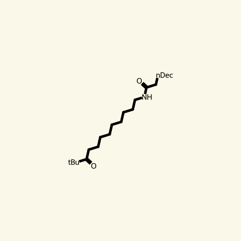 CCCCCCCCCCCC(=O)NCCCCCCCCCC(=O)C(C)(C)C